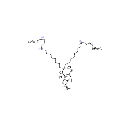 CCCCC/C=C\C/C=C\CCCCCCCCC1(CCCCCCCC/C=C\C/C=C\CCCCC)OSC2C3CC34C(C[C@@H]4N(C)C)[C@H]2O1